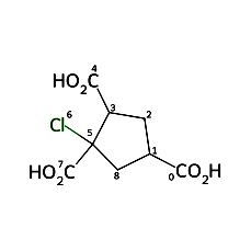 O=C(O)C1CC(C(=O)O)C(Cl)(C(=O)O)C1